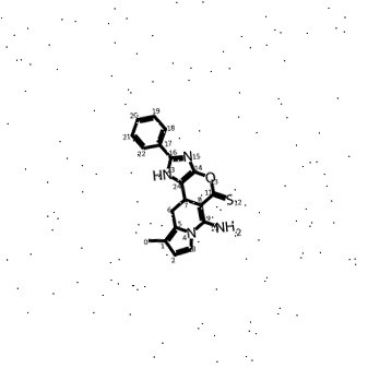 Cc1ccn2c1CC1C(=C2N)C(=S)Oc2nc(-c3ccccc3)[nH]c21